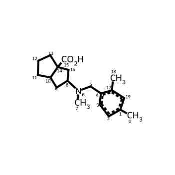 Cc1ccc(CN(C)C2CC3CCCC3(C(=O)O)C2)c(C)c1